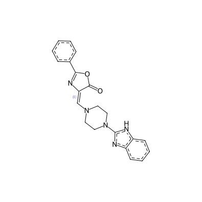 O=C1OC(c2ccccc2)=N/C1=C/N1CCN(c2nc3ccccc3[nH]2)CC1